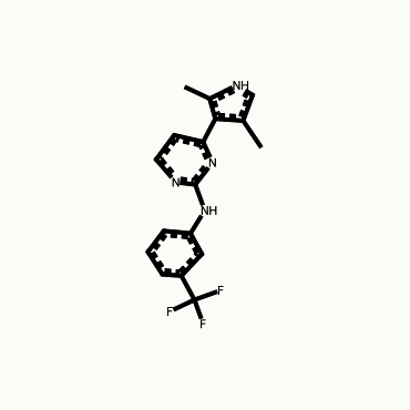 Cc1c[nH]c(C)c1-c1ccnc(Nc2cccc(C(F)(F)F)c2)n1